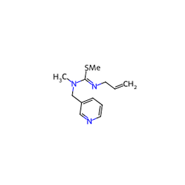 C=CCN=C(SC)N(C)Cc1cccnc1